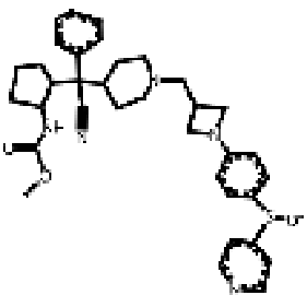 COC(=O)NC1CCCC1C(C#N)(c1ccccc1)C1CCN(CC2CN(c3ccc([S+]([O-])c4ccncc4)cc3)C2)CC1